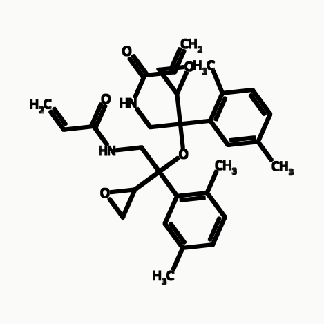 C=CC(=O)NCC(OC(CNC(=O)C=C)(c1cc(C)ccc1C)C1CO1)(c1cc(C)ccc1C)C1CO1